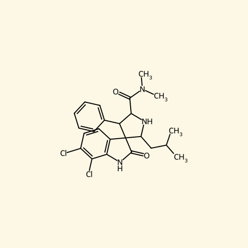 CC(C)CC1NC(C(=O)N(C)C)C(c2ccccc2)C12C(=O)Nc1c2ccc(Cl)c1Cl